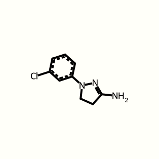 NC1=NN(c2cccc(Cl)c2)CC1